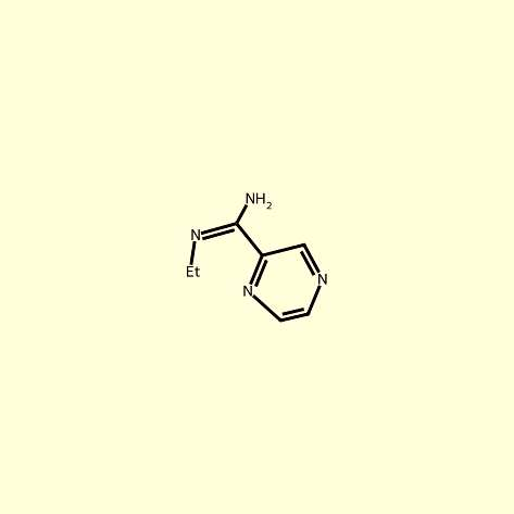 CC/N=C(/N)c1cnccn1